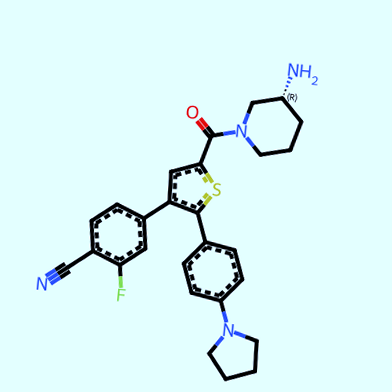 N#Cc1ccc(-c2cc(C(=O)N3CCC[C@@H](N)C3)sc2-c2ccc(N3CCCC3)cc2)cc1F